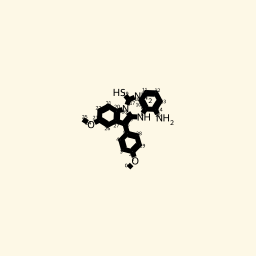 COc1ccc(-c2c(Nc3ccccc3N)n(C(N)S)c3ccc(OC)cc23)cc1